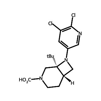 CC(C)(C)[C@@]12CN(C(=O)O)CC[C@H]1CN2c1cnc(Cl)c(Cl)c1